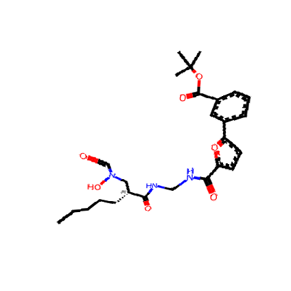 CCCCC[C@H](CN(O)C=O)C(=O)NCNC(=O)c1ccc(-c2cccc(C(=O)OC(C)(C)C)c2)o1